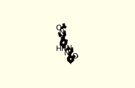 COc1c[c]ccc1-c1ccnc(Nc2ccc(N3CCN(C(=O)C(C)C)CC3)cc2)n1